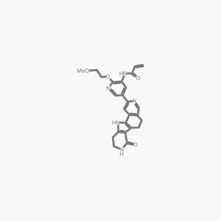 C=CC(=O)Nc1cc(-c2cc3c(cn2)CCc2c-3[nH]c3c2C(=O)NCC3)cnc1OCCOC